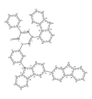 C=N/C(=N\C(=N/Cc1cccc(-n2c3ccccc3c3cc(-c4ccc5c(c4)oc4ccccc45)ccc32)c1)c1cccc2oc3ccccc3c12)c1ccccc1